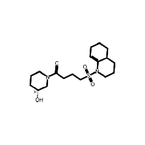 O=C(CCCS(=O)(=O)N1CCCC2CCCC=C21)N1CCC[C@@H](O)C1